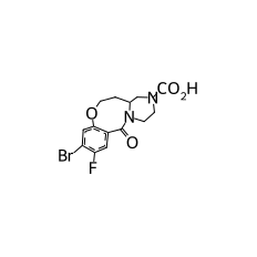 O=C(O)N1CCN2C(=O)c3cc(F)c(Br)cc3OCCC2C1